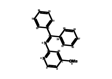 COc1ccnc(N=C(c2ccccc2)c2ccccc2)c1